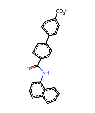 O=C(O)c1ccc(-c2ccc(C(=O)Nc3cccc4ccccc34)cc2)cc1